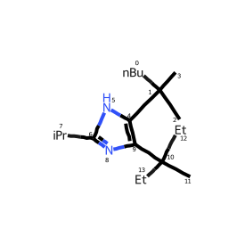 CCCCC(C)(C)c1[nH]c(C(C)C)nc1C(C)(CC)CC